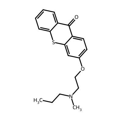 CCCN(C)CCOc1ccc2c(=O)c3ccccc3sc2c1